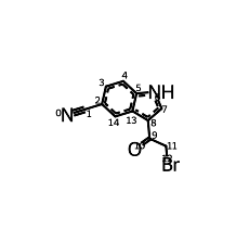 N#Cc1ccc2[nH]cc(C(=O)CBr)c2c1